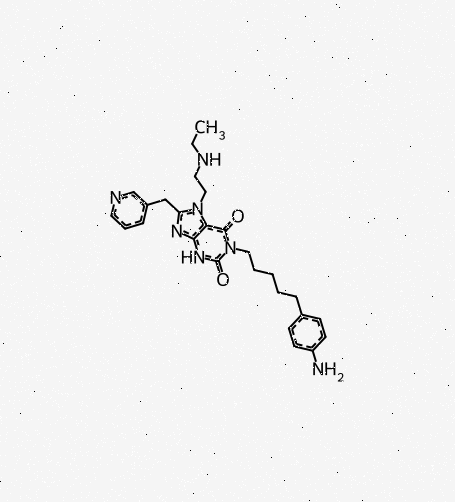 CCNCCn1c(Cc2cccnc2)nc2[nH]c(=O)n(CCCCCc3ccc(N)cc3)c(=O)c21